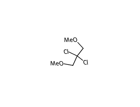 COCC(Cl)(Cl)COC